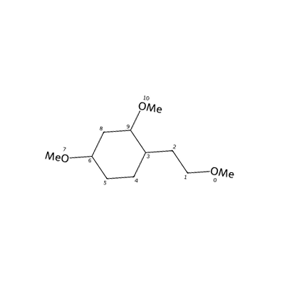 COCCC1CCC(OC)CC1OC